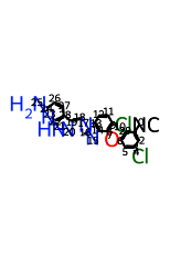 [C-]#[N+]c1cc(Cl)cc(Oc2c(Cl)ccc3c2ncn3Cc2n[nH]c3nc(N)ccc23)c1